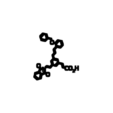 O=C(O)C=Cc1cc(C=CN2C(=O)c3ccccc3C2=O)cc(CC=Cc2ccccc2OCc2ccccc2)c1